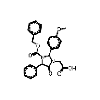 COc1ccc(C2N(CC(=O)O)C(=O)C(c3ccccc3)N2C(=O)OCc2ccccc2)cc1